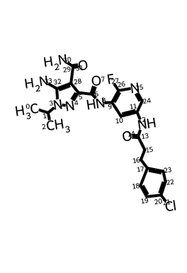 CC(C)n1nc(C(=O)Nc2cc(NC(=O)CCc3ccc(Cl)cc3)cnc2F)c(C(N)=O)c1N